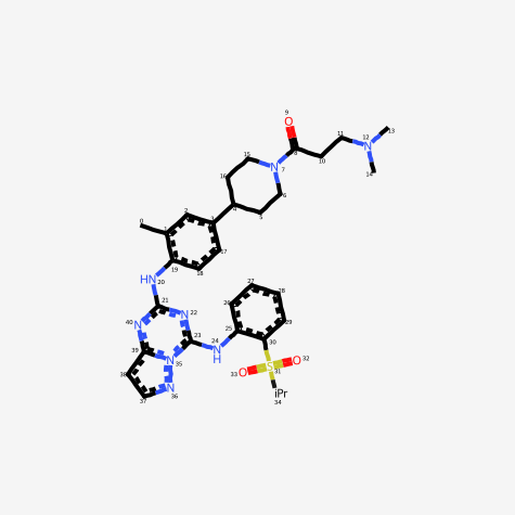 Cc1cc(C2CCN(C(=O)CCN(C)C)CC2)ccc1Nc1nc(Nc2ccccc2S(=O)(=O)C(C)C)n2nccc2n1